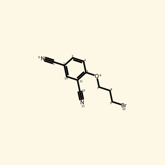 N#Cc1ccc(OCCCBr)c(C#N)c1